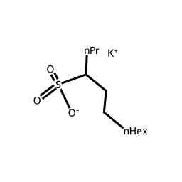 CCCCCCCCC(CCC)S(=O)(=O)[O-].[K+]